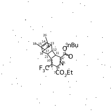 CCCCOC(=O)C1=NC(C(=O)OCC)C(C(F)(F)F)=C2C1C1C3C=CC(C(C)C3C)C21